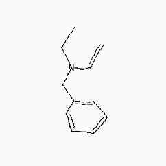 C=CN(CC)Cc1ccccc1